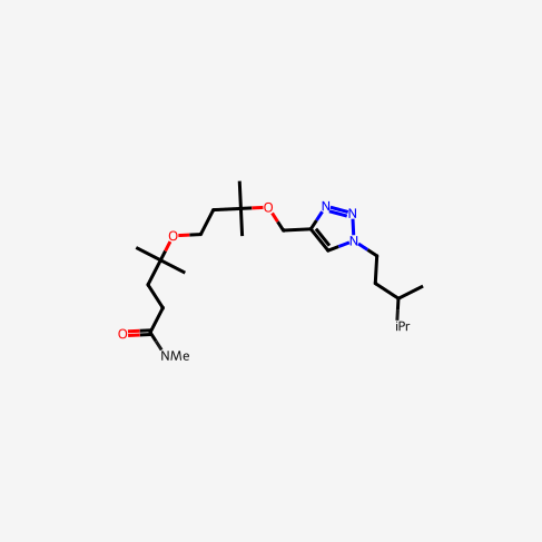 CNC(=O)CCC(C)(C)OCCC(C)(C)OCc1cn(CCC(C)C(C)C)nn1